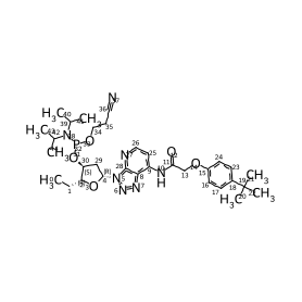 CC[C@H]1O[C@@H](n2nnc3c(NC(=O)COc4ccc(C(C)(C)C)cc4)ccnc32)C[C@@H]1OP(OCCC#N)N(C(C)C)C(C)C